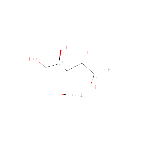 O=C([O-])O.O=C[C@H](O)[C@@H](O)[C@H](O)[C@H](O)CO.[Na+]